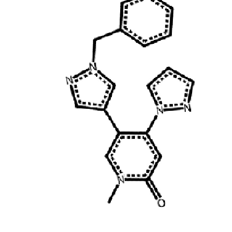 Cn1cc(-c2cnn(Cc3ccccc3)c2)c(-n2cccn2)cc1=O